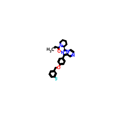 C=CC(=O)N1CCCC[C@H]1c1nc(-c2ccc(OCc3cccc(F)c3)cc2)c2cnccn12